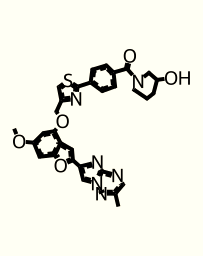 COc1cc(OCc2csc(-c3ccc(C(=O)N4CCCC(O)C4)cc3)n2)c2cc(-c3cn4nc(C)cnc4n3)oc2c1